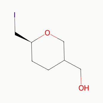 OCC1CC[C@@H](CI)OC1